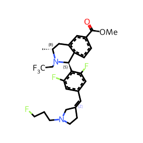 COC(=O)c1ccc2c(c1)C[C@@H](C)N(CC(F)(F)F)[C@@H]2c1c(F)cc(/C=C2/CCN(CCCF)C2)cc1F